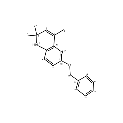 CC1=CC(C)(C)Nc2ccc(OCc3ccccc3)nc21